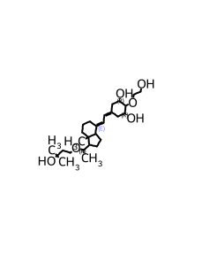 C[C@@H](OCCC(C)(C)O)C1CCC2/C(=C/C=C3C[C@@H](O)C(OCCO)[C@H](O)C3)CCCC21C